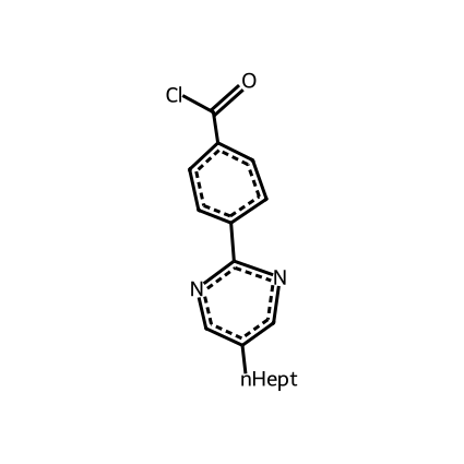 CCCCCCCc1cnc(-c2ccc(C(=O)Cl)cc2)nc1